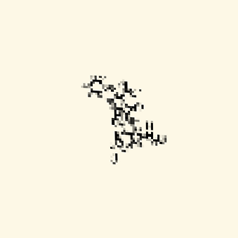 C#CCO/N=C(/C(=O)NC1C(=O)N2C(C(=O)[O-])=C(C[n+]3ccccc3)CS[C@H]12)c1nc(NC=O)sc1Cl